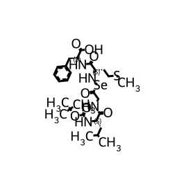 CSCC[C@H](N[Se]C(=O)CNC(=O)[C@H](CC(C)C)NC(=O)OC(C)(C)C)C(=O)N[C@@H](Cc1ccccc1)C(=O)O